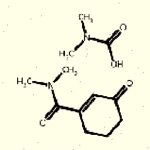 CN(C)C(=O)C1=CC(=O)CCC1.CN(C)C(=O)O